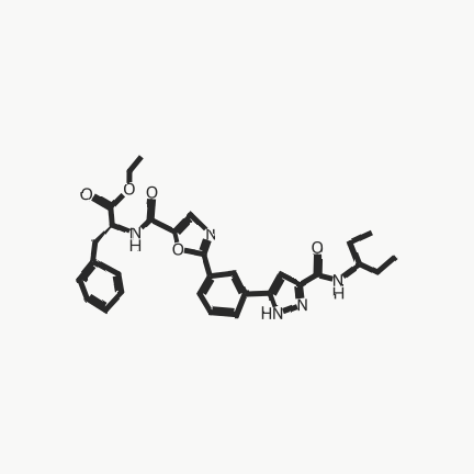 CCOC(=O)[C@H](Cc1ccccc1)NC(=O)c1cnc(-c2cccc(-c3cc(C(=O)NC(CC)CC)n[nH]3)c2)o1